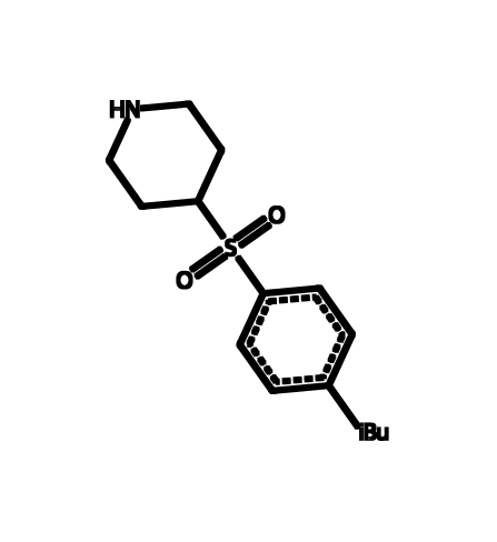 CCC(C)c1ccc(S(=O)(=O)C2CCNCC2)cc1